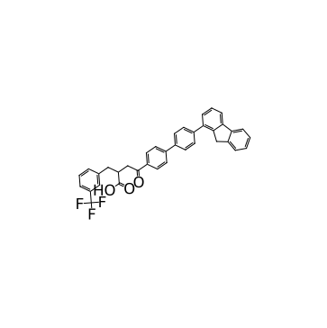 O=C(CC(Cc1cccc(C(F)(F)F)c1)C(=O)O)c1ccc(-c2ccc(-c3cccc4c3Cc3ccccc3-4)cc2)cc1